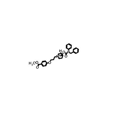 COC(=O)c1ccc(OCCC[N+]23CCC(CC2)[C@@H](OC(=O)N(Cc2ccccc2)c2ccccc2)C3)cc1